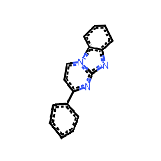 c1ccc(-c2ccn3c(n2)nc2ccccc23)cc1